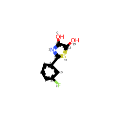 Oc1nc(-c2cccc(F)c2)sc1O